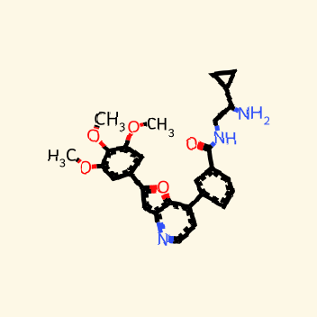 COc1cc(-c2cc3nccc(-c4cccc(C(=O)NCC(N)C5CC5)c4)c3o2)cc(OC)c1OC